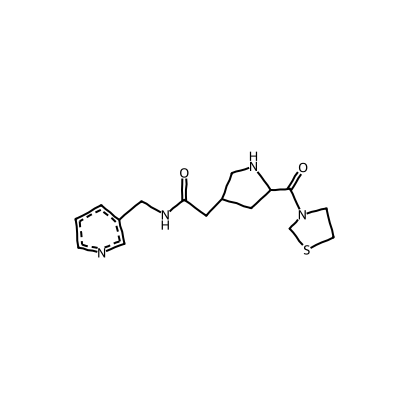 O=C(CC1CNC(C(=O)N2CCSC2)C1)NCc1cccnc1